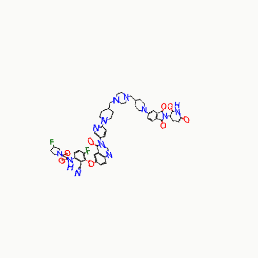 N#Cc1c(NS(=O)(=O)N2CC[C@@H](F)C2)ccc(F)c1Oc1ccc2ncn(-c3ccc(N4CCC(CN5CCN(CC6CCN(c7ccc8c(c7)C(=O)N(C7CCC(=O)NC7=O)C8=O)CC6)CC5)CC4)nc3)c(=O)c2c1